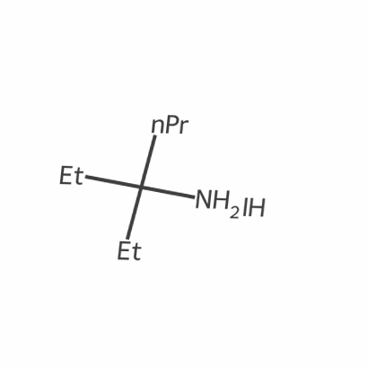 CCCC(N)(CC)CC.I